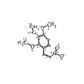 COc1ccc(/C=C\[N+](=O)[O-])c(OC)c1OC